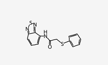 O=C(CSc1ccccc1)Nc1cccc2nsnc12